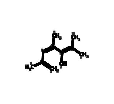 C=C(C)/C=C(/C)C(O)=C(C)C